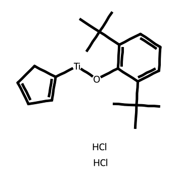 CC(C)(C)c1cccc(C(C)(C)C)c1[O][Ti][C]1=CC=CC1.Cl.Cl